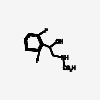 O=C(O)NCC(O)c1c(F)cccc1F